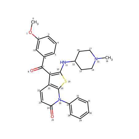 COc1cccc(C(=O)c2c(NC3CCN(C)CC3)sc3c2ccc(=O)n3-c2ccccc2)c1